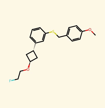 COc1ccc(CSc2cccc([C@H]3C[C@H](OCCF)C3)c2)cc1